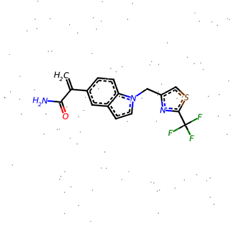 C=C(C(N)=O)c1ccc2c(ccn2Cc2csc(C(F)(F)F)n2)c1